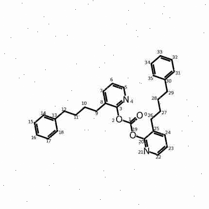 O=C(Oc1ncccc1CCCCc1ccccc1)Oc1ncccc1CCCCc1ccccc1